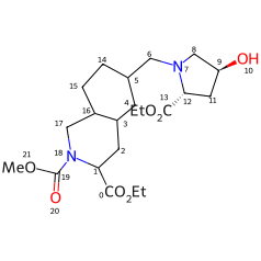 CCOC(=O)C1CC2CC(CN3C[C@@H](O)C[C@@H]3C(=O)OCC)CCC2CN1C(=O)OC